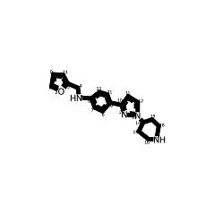 c1coc(CNc2ccc(-c3ccn(C4CCNCC4)n3)cc2)c1